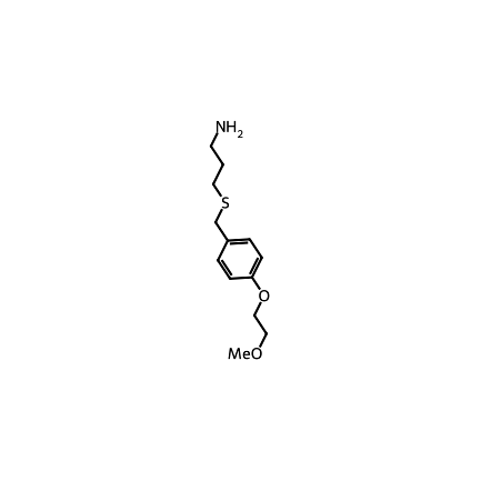 COCCOc1ccc(CSCCCN)cc1